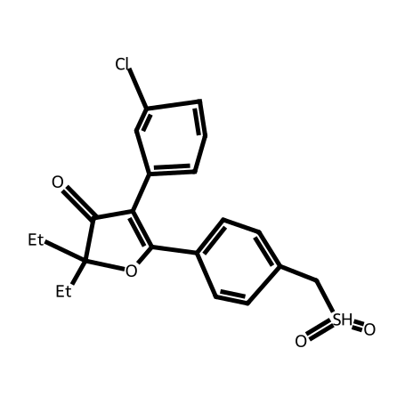 CCC1(CC)OC(c2ccc(C[SH](=O)=O)cc2)=C(c2cccc(Cl)c2)C1=O